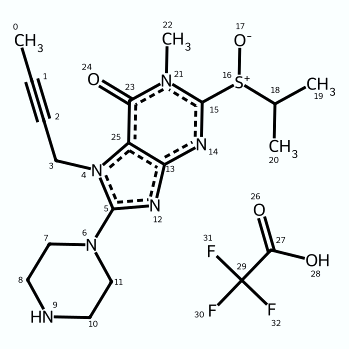 CC#CCn1c(N2CCNCC2)nc2nc([S+]([O-])C(C)C)n(C)c(=O)c21.O=C(O)C(F)(F)F